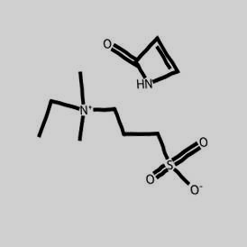 CC[N+](C)(C)CCCS(=O)(=O)[O-].O=C1C=CN1